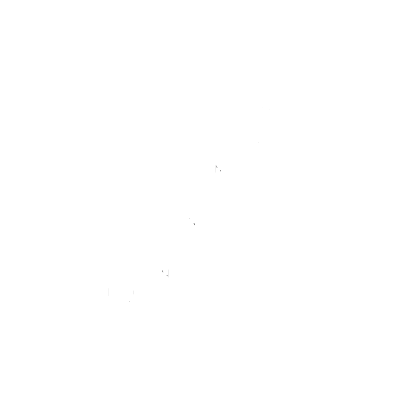 O=C(O)Nc1cccc(N2CC3(CCO3)C2)n1